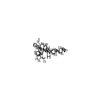 C=CCN(C=O)N(c1ccc2c(n1)C(CC)CC2)c1nc(Nc2ccc(N3CCN(C)CC3)cc2)ncc1C